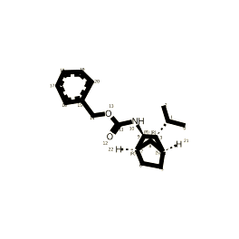 CC(C)[C@@H]1[C@H]2CC[C@H](C2)[C@H]1NC(=O)OCc1ccccc1